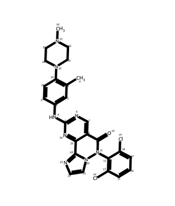 Cc1cc(Nc2ncc3c(=O)n(-c4c(Cl)cccc4Cl)n4ccnc4c3n2)ccc1N1CCN(C)CC1